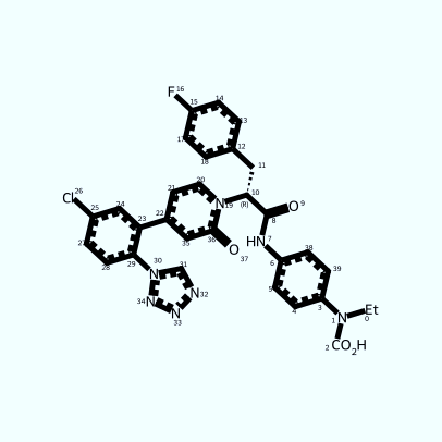 CCN(C(=O)O)c1ccc(NC(=O)[C@@H](Cc2ccc(F)cc2)n2ccc(-c3cc(Cl)ccc3-n3cnnn3)cc2=O)cc1